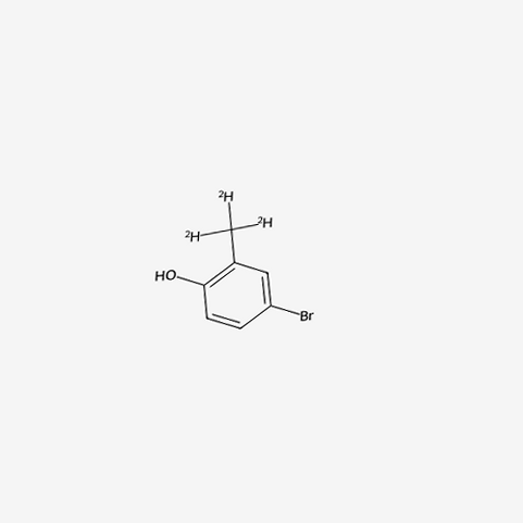 [2H]C([2H])([2H])c1cc(Br)ccc1O